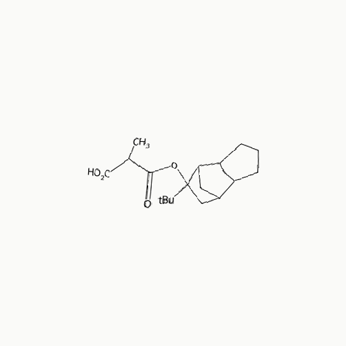 CC(C(=O)O)C(=O)OC1(C(C)(C)C)CC2CC1C1CCCC21